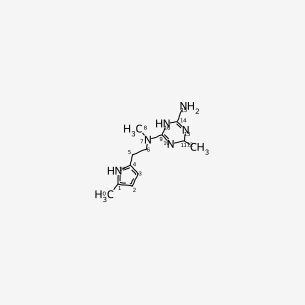 Cc1ccc(CCN(C)C2=NC(C)N=C(N)N2)[nH]1